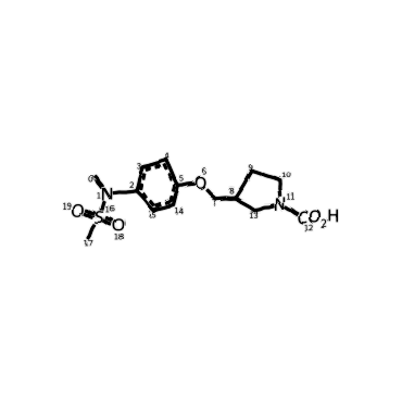 CN(c1ccc(OCC2CCN(C(=O)O)C2)cc1)S(C)(=O)=O